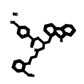 COc1ccccc1OCCNCC(Cc1cccc2c1[nH]c1ccccc12)OC(=O)c1ccc(O)cc1.Cl